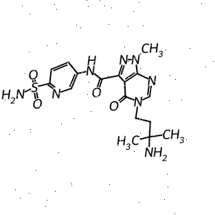 Cn1nc(C(=O)Nc2ccc(S(N)(=O)=O)nc2)c2c(=O)n(CCC(C)(C)N)cnc21